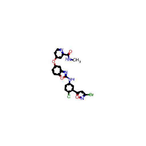 CNC(=O)c1cc(Oc2ccc3oc(Nc4ccc(Cl)c(-c5cc(Br)no5)c4)nc3c2)ccn1